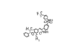 Cc1cc(C=C2C(=O)Nc3ccc(S(=O)(=O)Nc4ccc(C(F)(F)F)cc4)cc32)cc(C)c1OCc1ccccc1